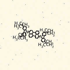 CC(C)(C)c1ccc2c(c1)c1cc(C(C)(C)C)ccc1n2C1=CCC2c3c1cccc3-c1ccc(-n3c4ccc(C(C)(C)C)cc4c4cc(C(C)(C)C)ccc43)c3cccc2c13